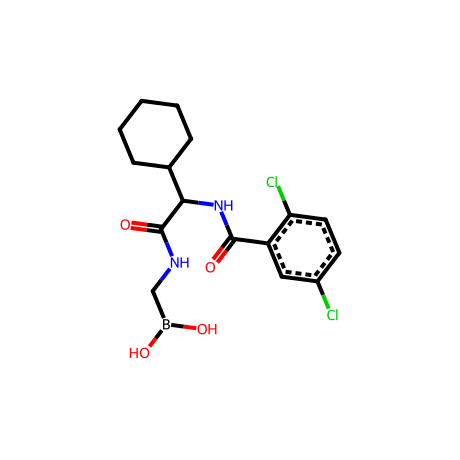 O=C(NC(C(=O)NCB(O)O)C1CCCCC1)c1cc(Cl)ccc1Cl